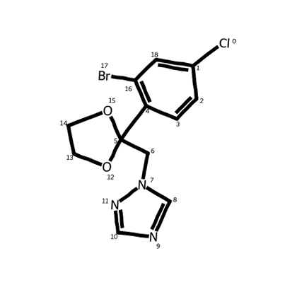 Clc1ccc(C2(Cn3cncn3)OCCO2)c(Br)c1